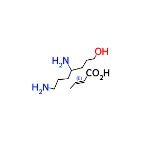 C/C=C/C(=O)O.NCCCC(N)CCCO